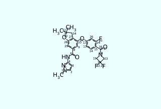 Cn1ccc(NC(=O)c2cc(Oc3ccc(C(=O)N4CC(F)(F)C4)c(F)c3)c3c(c2)OC(C)(C)C3)n1